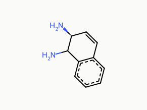 NC1c2ccccc2C=C[C@@H]1N